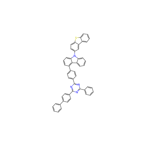 c1ccc(-c2ccc(-c3nc(-c4ccccc4)nc(-c4ccc(-c5cccc6c5c5ccccc5n6-c5ccc6sc7ccccc7c6c5)cc4)n3)cc2)cc1